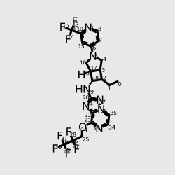 CCC1C2CN(c3ccnc(C(F)(F)F)c3)C[C@H]2[C@@H]1Nc1nc2c(OCC(F)(F)C(F)(F)F)nccn2n1